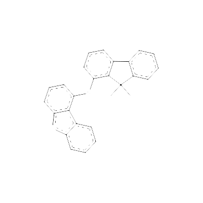 CC1(C)c2ccccc2-c2cccc(Nc3cccc4oc5ccccc5c34)c21